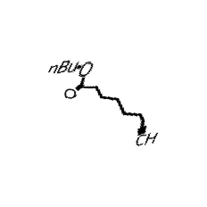 C#CCCCCCC(=O)OCCCC